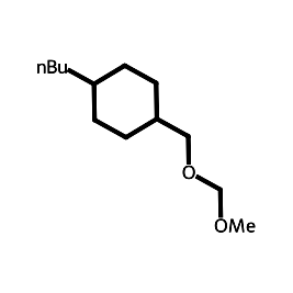 CCCCC1CCC(COCOC)CC1